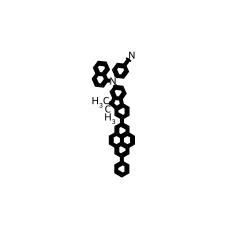 CC1(C)c2cc(-c3cc4ccc5cc(-c6ccccc6)cc6ccc(c3)c4c56)ccc2-c2ccc(N(c3ccc(C#N)cc3)c3cccc4ccccc34)cc21